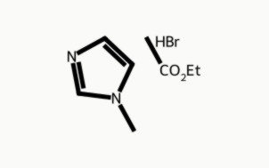 Br.CCOC(C)=O.Cn1ccnc1